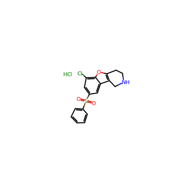 Cl.O=S(=O)(c1ccccc1)c1cc(Cl)c2oc3c(c2c1)CNCC3